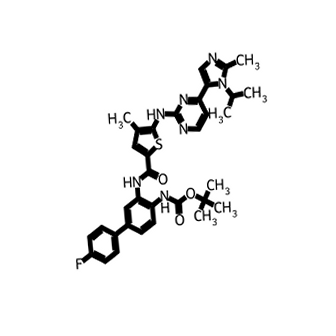 Cc1cc(C(=O)Nc2cc(-c3ccc(F)cc3)ccc2NC(=O)OC(C)(C)C)sc1Nc1nccc(-c2cnc(C)n2C(C)C)n1